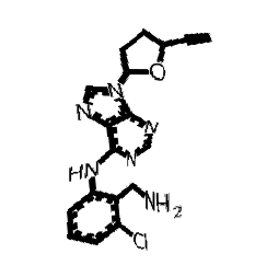 C#CC1CCC(n2cnc3c(Nc4cccc(Cl)c4CN)ncnc32)O1